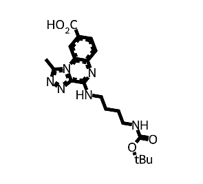 Cc1nnc2c(NCCCCNC(=O)OC(C)(C)C)nc3ccc(C(=O)O)cc3n12